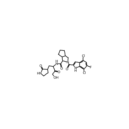 O=C1NCCC1CC(NC(=O)C1C2CCCC2CN1C(=O)c1cc2c(Cl)cc(F)c(Cl)c2[nH]1)C(=O)CO